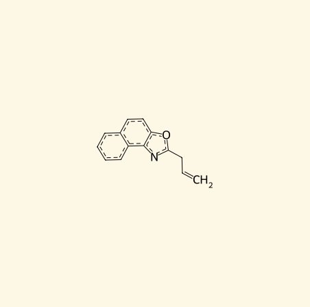 C=CCc1nc2c(ccc3ccccc32)o1